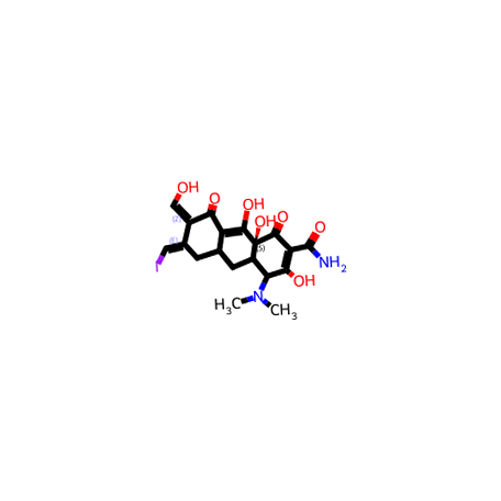 CN(C)C1C(O)=C(C(N)=O)C(=O)[C@@]2(O)C(O)=C3C(=O)C(=C\O)/C(=C/I)CC3CC12